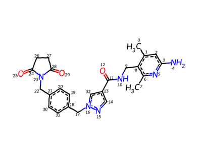 Cc1cc(N)nc(C)c1CNC(=O)c1cnn(Cc2ccc(CN3C(=O)CCC3=O)cc2)c1